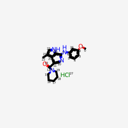 COc1cccc(Nc2ncc(C(=O)N3CCCCC3)c3c(C)c[nH]c23)c1.Cl